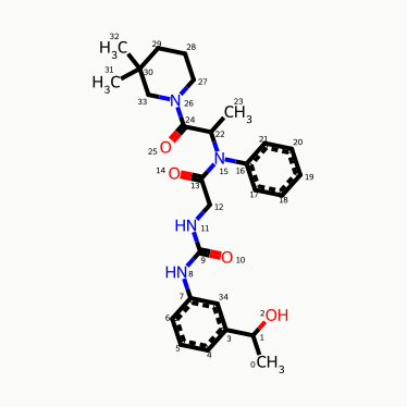 CC(O)c1cccc(NC(=O)NCC(=O)N(c2ccccc2)C(C)C(=O)N2CCCC(C)(C)C2)c1